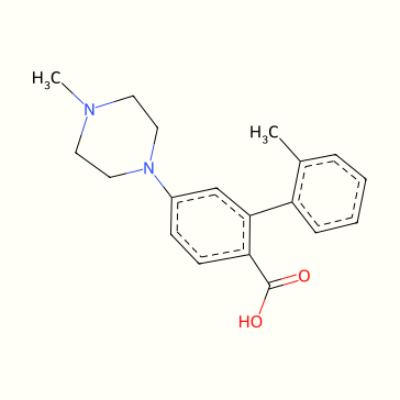 Cc1ccccc1-c1cc(N2CCN(C)CC2)ccc1C(=O)O